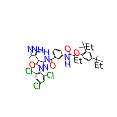 CCC(Oc1ccc(C(C)(C)CC)cc1C(C)(C)CC)C(=O)Nc1cccc(C(=O)NC2=NN(c3c(Cl)cc(Cl)cc3Cl)C(=O)C2c2c(C)n[nH]c2C)c1